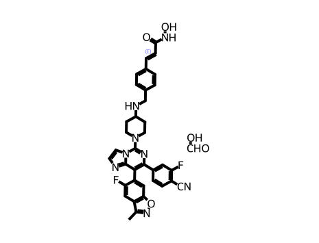 Cc1noc2cc(-c3c(-c4ccc(C#N)c(F)c4)nc(N4CCC(NCc5ccc(/C=C/C(=O)NO)cc5)CC4)n4ccnc34)c(F)cc12.O=CO